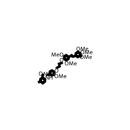 COc1cc(C2NC(=O)c3cc(C)ccc3N2)ccc1OCCCCOc1c(OC)cc(C=Cc2cc(OC)c(OC)c(OC)c2)cc1OC